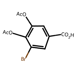 CC(=O)Oc1cc(C(=O)O)cc(Br)c1OC(C)=O